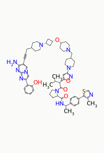 Cc1ncsc1-c1ccc(C(C)NC(=O)C2CCCN2C(=O)C(c2cc(N3CCC(CN4CCC(O[C@H]5C[C@@H](N6CCC(CC#Cc7cn8cc(-c9ccccc9O)nc8nc7N)CC6)C5)CC4)CC3)no2)C(C)C)cc1